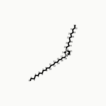 CCCCCCCCCCCCCCCCCCC[n+]1ccn(CCCCCCCCCCC)c1